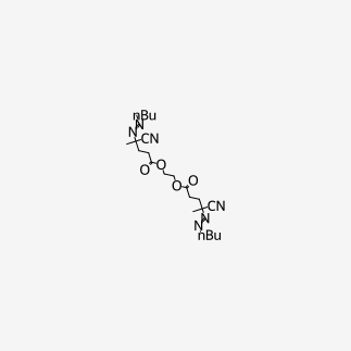 CCCC/N=N/C(C)(C#N)CCC(=O)OCCOC(=O)CCC(C)(C#N)/N=N/CCCC